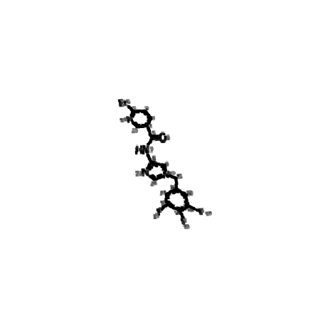 CCc1ccc(C(=O)Nc2cn(Cc3cc(F)c(F)c(F)c3)cn2)cn1